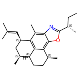 CC[C@H](C)c1nc2c(C)c3c4c(c2o1)[C@@H](C)CC[C@@H]4[C@@H](C)C[C@H]3C=C(C)C